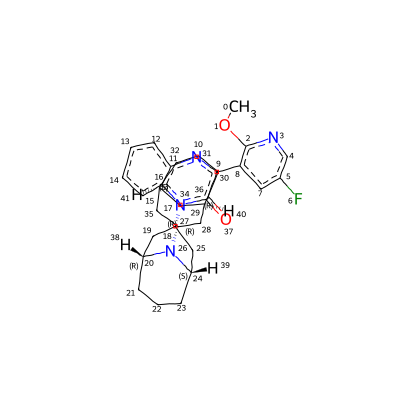 COc1ncc(F)cc1-c1nc2ccccc2n([C@H]2C[C@H]3CCC[C@@H](C2)N3[C@H]2C[C@@H]3CCC[C@@H](C3)C2)c1=O